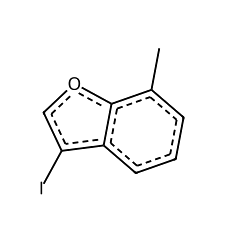 Cc1cccc2c(I)coc12